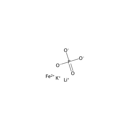 O=P([O-])([O-])[O-].[Fe+2].[K+].[Li+]